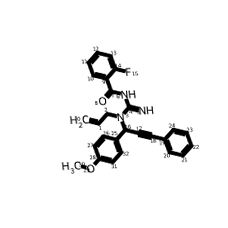 C=CCN(C(=N)NC(=O)c1ccccc1F)C(C#Cc1ccccc1)c1ccc(OC)cc1